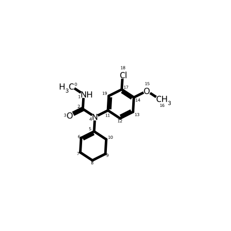 CNC(=O)N(C1=CCCCC1)c1ccc(OC)c(Cl)c1